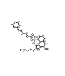 CCCCc1nc2c(N)nc3cccc4c3c2n1CC4(C)OC(=O)OCCSSc1ccccn1